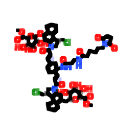 COC(=O)[C@H]1O[C@@H](Oc2cc3c(c4ccccc24)[C@H](CCl)CN3C(=O)/C=C/c2ccc(/C=C/C(=O)N3C[C@@H](CCl)c4c3cc(C[C@@H]3O[C@H](C(=O)OC)[C@@H](O)[C@@H](O)[C@H]3O)c3ccccc43)c(NC(=O)CCNC(=O)CCCCCN3C(=O)C=CC3=O)c2)[C@H](O)[C@@H](O)[C@@H]1O